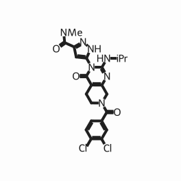 CNC(=O)c1cc(-n2c(NC(C)C)nc3c(c2=O)CCN(C(=O)c2ccc(Cl)c(Cl)c2)C3)[nH]n1